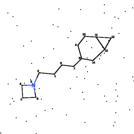 C(CCN1CCC1)CC1CCC2CC2C1